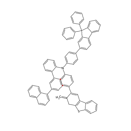 C=C1Cc2sc3ccccc3c2C=C1c1ccc(N(c2ccc(-c3ccc4c(c3)C(c3ccccc3)(c3ccccc3)c3ccccc3-4)cc2)c2ccccc2-c2cccc(-c3cccc4ccccc34)c2)cc1